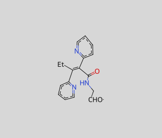 CC/C(=C(/C(=O)NC[C]=O)c1ccccn1)c1ccccn1